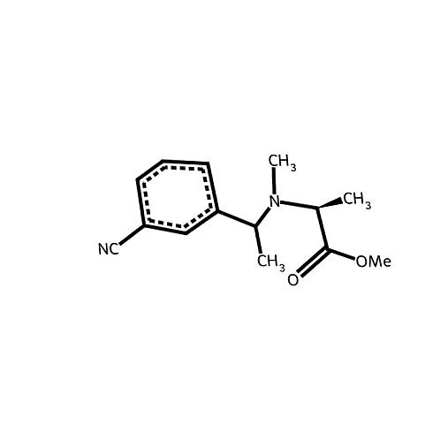 COC(=O)[C@H](C)N(C)C(C)c1cccc(C#N)c1